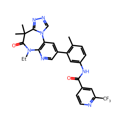 CCN1C(=O)C(C)(C)c2nncn2-c2cc(-c3cc(NC(=O)c4ccnc(C(F)(F)F)c4)ccc3C)cnc21